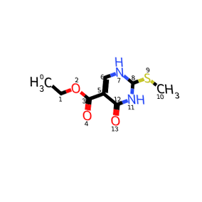 CCOC(=O)C1=CNC(SC)NC1=O